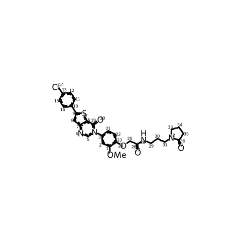 COc1cc(-n2cnc3cc(-c4ccc(Cl)cc4)sc3c2=O)ccc1OCC(=O)NCCCN1CCCC1=O